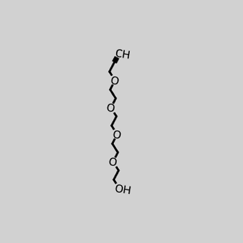 C#CCOCCOCCOCCOCCO